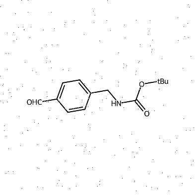 CC(C)(C)OC(=O)NCc1ccc(C=O)cc1